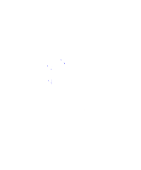 C[C@@H](O)c1cn(C)nn1